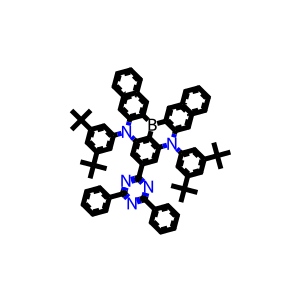 CC(C)(C)c1cc(N2c3cc4ccccc4cc3B3c4cc5ccccc5cc4N(c4cc(C(C)(C)C)cc(C(C)(C)C)c4)c4cc(-c5nc(-c6ccccc6)nc(-c6ccccc6)n5)cc2c43)cc(C(C)(C)C)c1